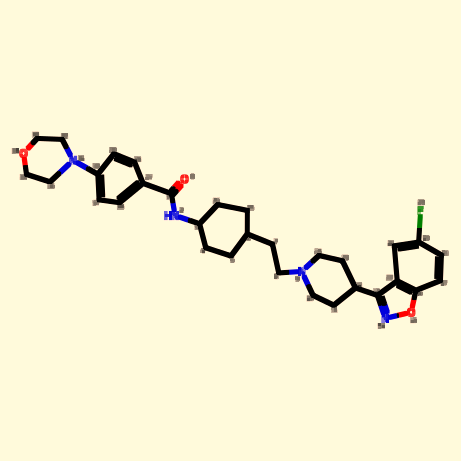 O=C(NC1CCC(CCN2CCC(c3noc4ccc(F)cc34)CC2)CC1)c1ccc(N2CCOCC2)cc1